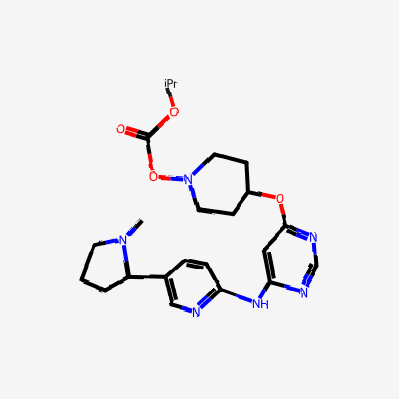 CC(C)OC(=O)ON1CCC(Oc2cc(Nc3ccc(C4CCCN4C)cn3)ncn2)CC1